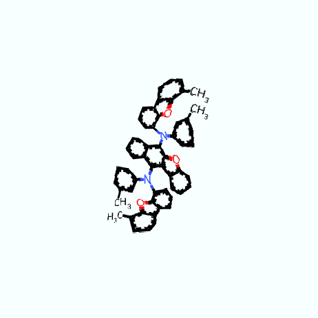 Cc1cccc(N(c2cccc3c2oc2c(C)cccc23)c2c3ccccc3c(N(c3cccc(C)c3)c3cccc4c3oc3c(C)cccc34)c3c2oc2ccccc23)c1